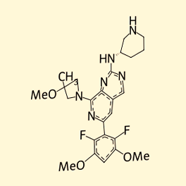 COc1cc(OC)c(F)c(-c2cc3cnc(N[C@H]4CCCNC4)nc3c(N3CC(C)(OC)C3)n2)c1F